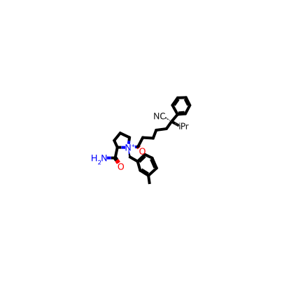 Cc1cccc(C[N@+]2(C(=O)CCCC[C@@](C#N)(c3ccccc3)C(C)C)CCCC2C(N)=O)c1